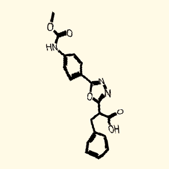 COC(=O)Nc1ccc(-c2nnc(C(Cc3ccccc3)C(=O)O)o2)cc1